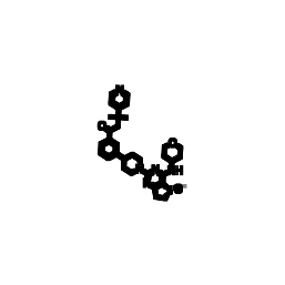 CC(C)(CC(=O)c1cccc(C2CCN(c3nc4c(c(NC5CCOCC5)n3)[S+]([O-])CC4)CC2)c1)c1ccncc1